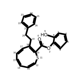 O=C(Oc1ccccc1O)c1sccccccc1CCc1ccccc1